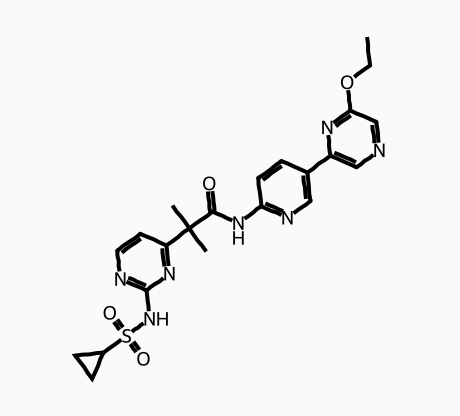 CCOc1cncc(-c2ccc(NC(=O)C(C)(C)c3ccnc(NS(=O)(=O)C4CC4)n3)nc2)n1